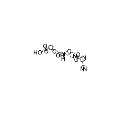 Cn1cc(-c2cncc(S(=O)(=O)N3CCC4(CC3)CC(NCC(O)COc3cccc(S(=O)(=O)CCO)c3)CO4)c2)cn1